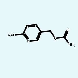 COc1ccc(COC(N)=O)cn1